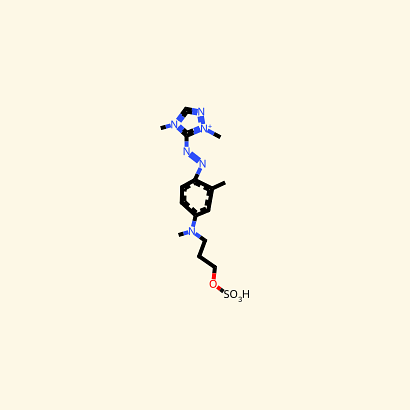 Cc1cc(N(C)CCCOS(=O)(=O)O)ccc1N=Nc1n(C)cn[n+]1C